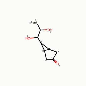 CCCCCC(O)C(O)C1C2CC(=O)CC21